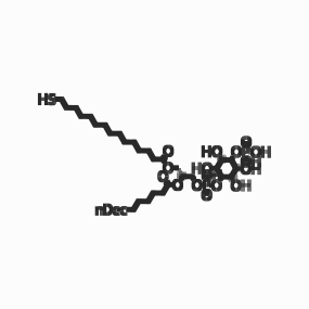 CCCCCCCCCCCCCCCC(=O)O[C@H](COC(=O)CCCCCCCCCCCCCCS)COP(=O)(O)OC1C(O)[C@@H](O)C(OP(=O)(O)O)[C@@H](O)[C@H]1O